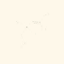 C=CCC(C)(C#N)C=C(C)C(C)C